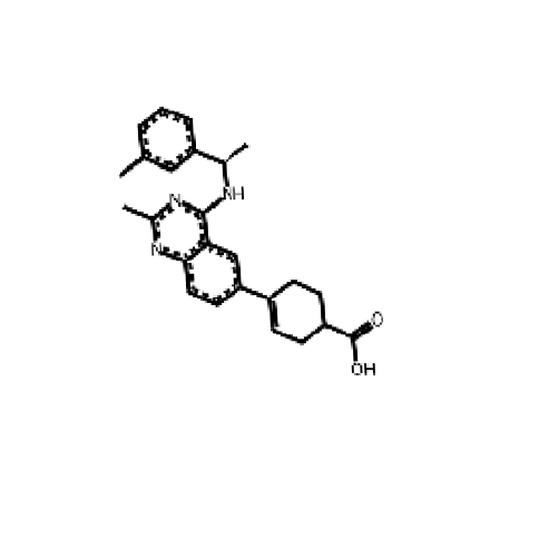 Cc1cccc([C@@H](C)Nc2nc(C)nc3ccc(C4=CCC(C(=O)O)CC4)cc23)c1